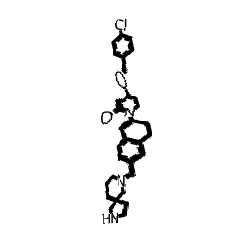 O=c1cc(OCc2ccc(Cl)cc2)ccn1C1=Cc2ccc(CN3CCCC4(CCNC4)C3)cc2CC1